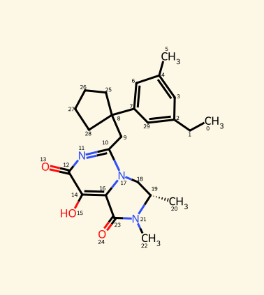 CCc1cc(C)cc(C2(Cc3nc(=O)c(O)c4n3C[C@H](C)N(C)C4=O)CCCC2)c1